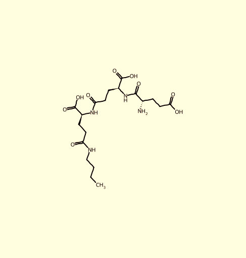 CCCCNC(=O)CC[C@H](NC(=O)CC[C@H](NC(=O)[C@@H](N)CCC(=O)O)C(=O)O)C(=O)O